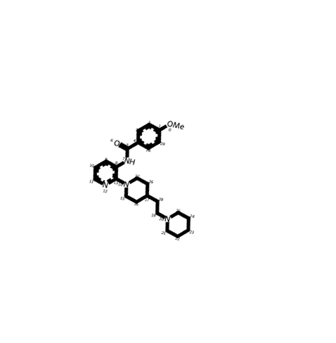 COc1ccc(C(=O)Nc2cccnc2N2CCC(CCN3CCCCC3)CC2)cc1